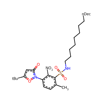 CCCCCCCCCCCCCCCCCCNS(=O)(=O)c1c(C)ccc(-n2oc(C(C)(C)C)cc2=O)c1[N+](=O)[O-]